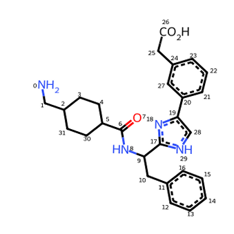 NCC1CCC(C(=O)NC(Cc2ccccc2)c2nc(-c3cccc(CC(=O)O)c3)c[nH]2)CC1